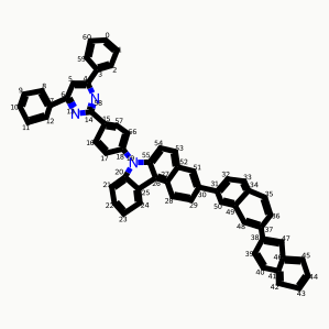 c1ccc(-c2cc(-c3ccccc3)nc(-c3ccc(-n4c5ccccc5c5c6ccc(-c7ccc8ccc(-c9ccc%10ccccc%10c9)cc8c7)cc6ccc54)cc3)n2)cc1